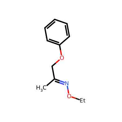 CCON=C(C)COc1ccccc1